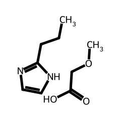 CCCc1ncc[nH]1.COCC(=O)O